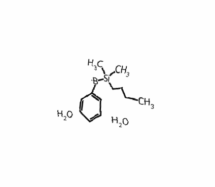 CCCC[Si](C)(C)[B]c1ccccc1.O.O